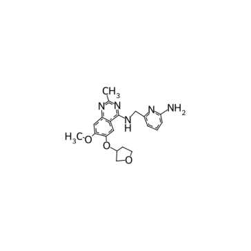 COc1cc2nc(C)nc(NCc3cccc(N)n3)c2cc1OC1CCOC1